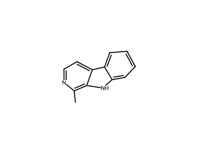 Cc1nccc2c1[nH]c1cc[c]cc12